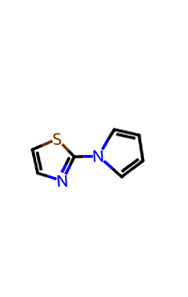 c1ccn(-c2nccs2)c1